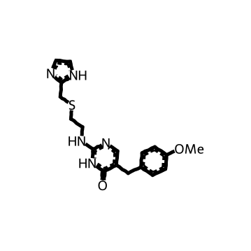 COc1ccc(Cc2cnc(NCCSCc3ncc[nH]3)[nH]c2=O)cc1